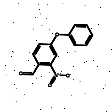 O=Cc1ccc(Oc2ccccc2)cc1[N+](=O)[O-]